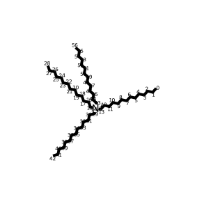 CCCCCCCCCCCCCC[N+](CCCCCCCCCCCCCC)(CCCCCCCCCCCCCC)CCCCCCCCCCCCCC